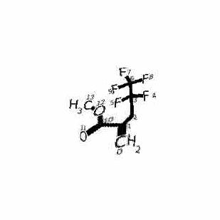 C=C(CC(F)(F)C(F)(F)F)C(=O)OC